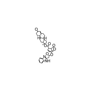 CC1(OC(=O)C2C3CC4C(OC(=O)C42)C3OC(=O)Cc2nc3ccccc3[nH]2)CC[C@H]2C3CCC4=CC(=O)CC[C@]4(C)[C@H]3CC[C@@]21C